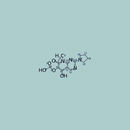 Cn1c(=O)c(OC(=O)O)c(O)c2cnc(N3CCCC3)nc21